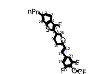 CCCc1ccc2c(F)c(C3CCC(/C=C/c4cc(F)c(OC(F)(F)F)c(F)c4)OC3)sc2c1